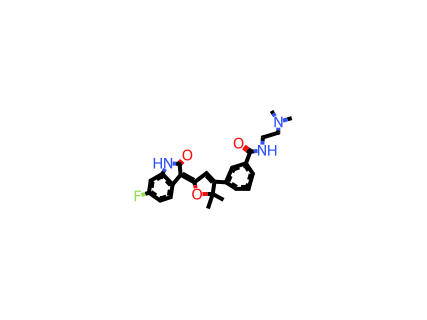 CN(C)CCNC(=O)c1cccc(C2=C/C(=C3\C(=O)Nc4cc(F)ccc43)OC2(C)C)c1